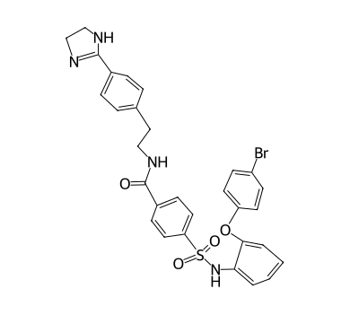 O=C(NCCc1ccc(C2=NCCN2)cc1)c1ccc(S(=O)(=O)Nc2ccccc2Oc2ccc(Br)cc2)cc1